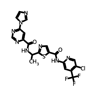 CC(NC(=O)c1cc(-n2ccnc2)ncn1)c1ncc(C(=O)Nc2cc(C(F)(F)F)c(Cl)cn2)s1